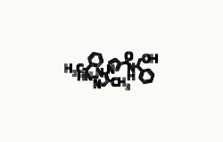 Cc1cnc(NC(C)c2ccccc2)nc1-n1ccc(C(=O)NC(CO)c2ccccc2)c1